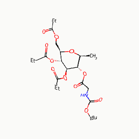 CCC(=O)OC[C@H]1O[C@@H](C)[C@H](OC(=O)CNC(=O)OC(C)(C)C)[C@@H](OC(=O)CC)[C@@H]1OC(=O)CC